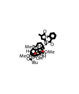 CC[C@H](C)C(=O)O[C@H]1[C@@H]2C[C@@H]3[C@H]1[C@](O)(C[C@@H]2OC)[C@@]1(O)[C@@H](OC)[C@@H]2[C@@]4(COC(=O)c5ccccc5N5C(=O)CC(C)C5=O)CC[C@H](OC)[C@@]32[C@@H]1N(CC)C4